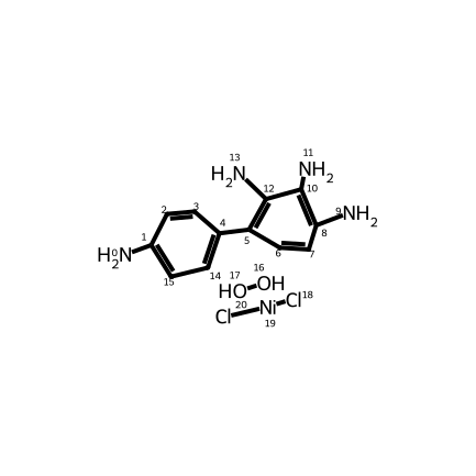 Nc1ccc(-c2ccc(N)c(N)c2N)cc1.OO.[Cl][Ni][Cl]